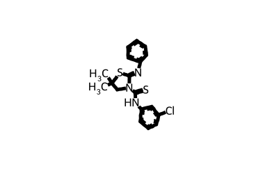 CC1(C)CN(C(=S)Nc2cccc(Cl)c2)C(=Nc2ccccc2)S1